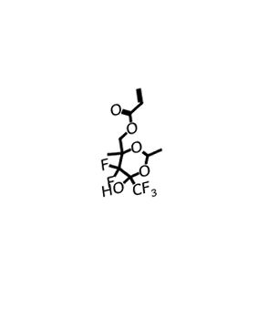 C=CC(=O)OCC1(C)OC(C)OC(O)(C(F)(F)F)C1(F)F